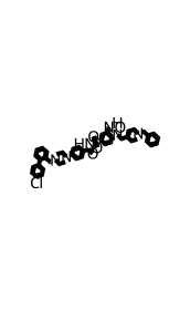 O=C(NS(=O)(=O)c1ccc(NCC2CCN(Cc3ccccc3)CC2)c([N+](=O)[O-])c1)c1ccc(N2CCN(Cc3ccccc3-c3ccc(Cl)cc3)CC2)cc1